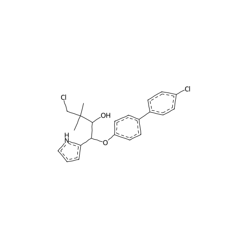 CC(C)(CCl)C(O)C(Oc1ccc(-c2ccc(Cl)cc2)cc1)c1ccc[nH]1